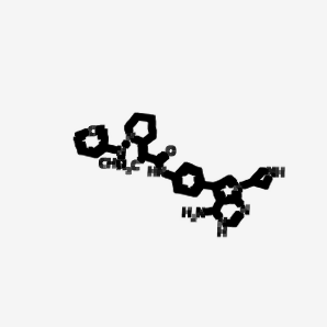 C/C(C(=O)Nc1ccc(-c2cn(C3CNC3)c3c2C(N)NC=N3)cc1)=C1/CCCCN1N(C=O)c1ccccc1